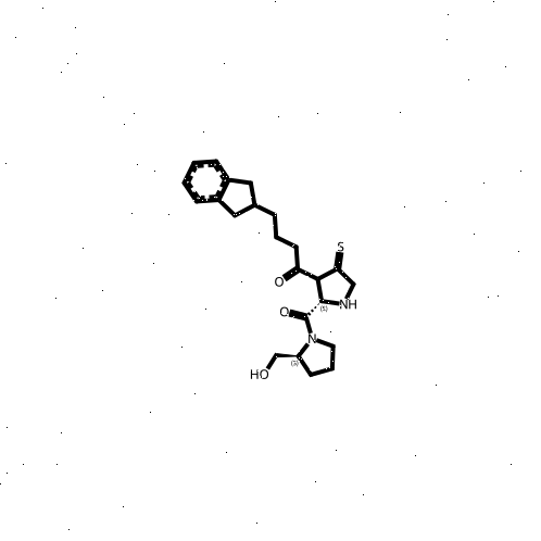 O=C(CCCC1Cc2ccccc2C1)C1C(=S)CN[C@@H]1C(=O)N1CCC[C@H]1CO